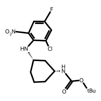 CC(C)(C)OC(=O)N[C@@H]1CCC[C@H](Nc2c(Cl)cc(F)cc2[N+](=O)[O-])C1